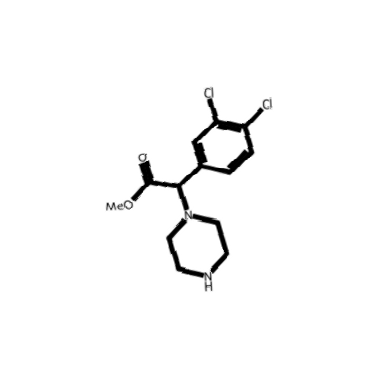 COC(=O)C(c1ccc(Cl)c(Cl)c1)N1CCNCC1